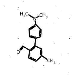 Cc1ccc(C=O)c(-c2ccc(N(C)C)cc2)c1